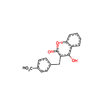 O=C(O)c1ccc(Cc2c(O)c3ccccc3oc2=O)cc1